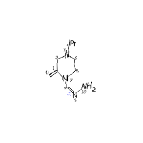 C=C1CN(C(C)C)CCN1/C=N\N